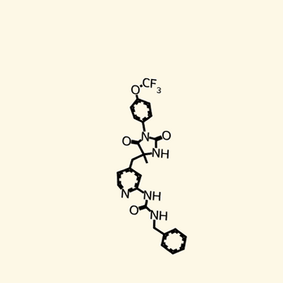 CC1(Cc2ccnc(NC(=O)NCc3ccccc3)c2)NC(=O)N(c2ccc(OC(F)(F)F)cc2)C1=O